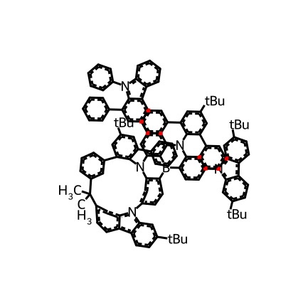 CC(C)(C)c1cc(-c2ccccc2)c(N2c3cc(-n4c5cc(C(C)(C)C)ccc5c5ccc(C(C)(C)C)cc54)ccc3B3c4ccc5cc4N(c4cc(-c6cc(-c7ccccc7)c7c(c6)c6ccccc6n7-c6ccccc6)cc2c43)c2c(-c3ccccc3)cc(C(C)(C)C)cc2-c2cccc(c2)C(C)(C)c2ccc3c4ccc(C(C)(C)C)cc4n-5c3c2)c(-c2ccccc2)c1